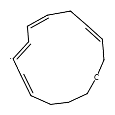 [C]1=C/C=C\C/C=C\CCCCC\C=C/1